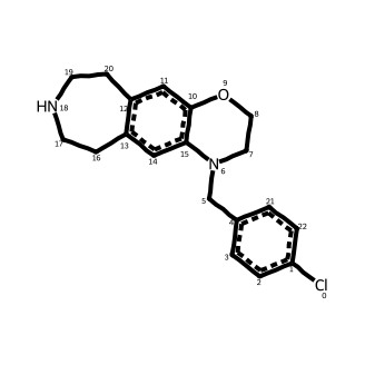 Clc1ccc(CN2CCOc3cc4c(cc32)CCNCC4)cc1